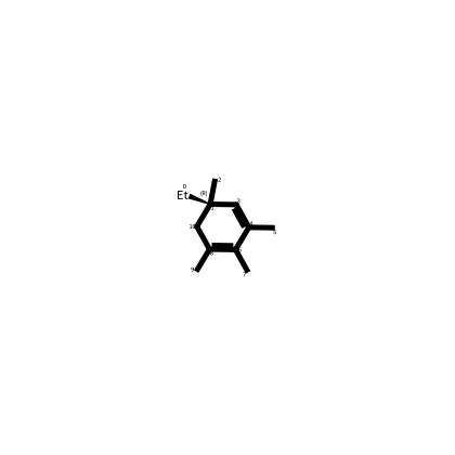 CC[C@@]1(C)C=C(C)C(C)=C(C)C1